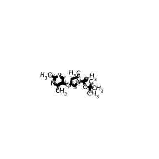 Cc1ncc(O[C@@H]2C[C@H](C)N(C(=O)OC(C)(C)C)C2)c(C)n1